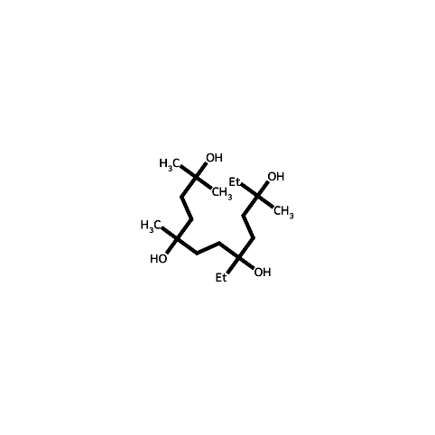 CCC(C)(O)CCC(O)(CC)CCC(C)(O)CCC(C)(C)O